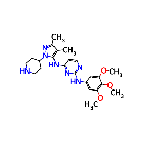 COc1cc(Nc2nccc(Nc3c(C)c(C)nn3C3CCNCC3)n2)cc(OC)c1OC